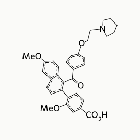 COc1ccc2c(C(=O)c3ccc(OCCN4CCCCC4)cc3)c(-c3ccc(C(=O)O)cc3OC)ccc2c1